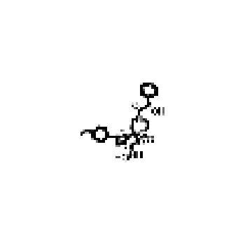 CCc1ccc(-c2ccc(C3(CC(=O)NO)CCN(C(=O)[C@@H](O)c4ccccc4)CCS3(=O)=O)s2)cc1